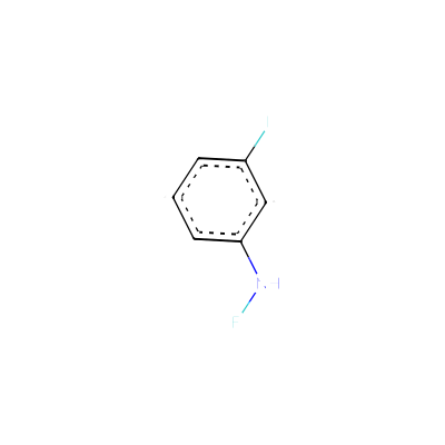 FNc1cccc(F)c1